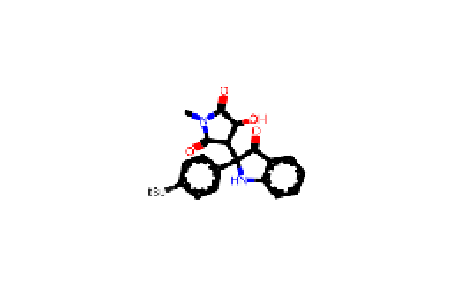 CN1C(=O)C(O)C(C2(c3ccc(C(C)(C)C)cc3)Nc3ccccc3C2=O)C1=O